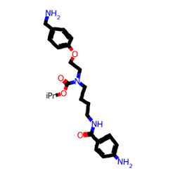 CC(C)OC(=O)N(CCCCNC(=O)c1ccc(N)cc1)CCOc1ccc(CN)cc1